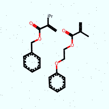 C=C(C(=O)OCc1ccccc1)C(C)C.C=C(C)C(=O)OCCOc1ccccc1